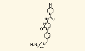 N[C@H]1CCN(Cc2ccc(-n3ccc(NC(=O)N4CCNCC4)nc3=O)cc2)C1